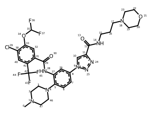 CN1CCN(c2ccc(-n3cc(C(=O)NCCCN4CCOCC4)nn3)cc2NC(=O)c2cc(OC(F)F)c(Cl)cc2C(F)(F)F)CC1